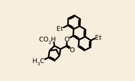 CCc1cccc2c(OC(=O)C3C4C=C(C)C(C4)C3C(=O)O)c3c(CC)cccc3cc12